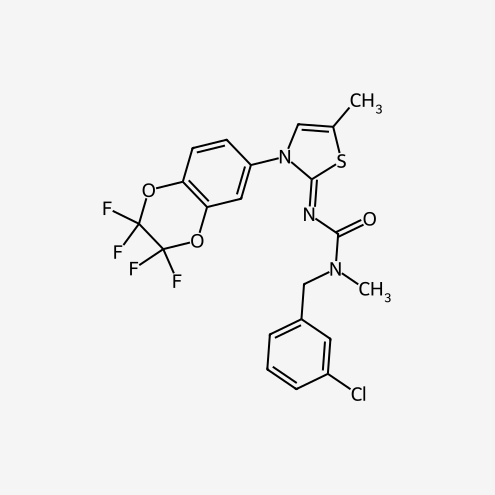 Cc1cn(-c2ccc3c(c2)OC(F)(F)C(F)(F)O3)c(=NC(=O)N(C)Cc2cccc(Cl)c2)s1